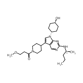 CCC[C@H](C)Nc1ncc2c(C3CCN(C(=O)CCOC)CC3)cn([C@H]3CC[C@H](O)CC3)c2n1